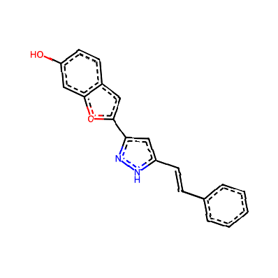 Oc1ccc2cc(-c3cc(C=Cc4ccccc4)[nH]n3)oc2c1